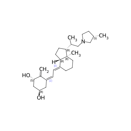 C=C1/C(=C\C=C2/CCC[C@]3(C)[C@@H](C(C)CN4CC[C@H](C)C4)CC[C@@H]23)C[C@@H](O)C[C@@H]1O